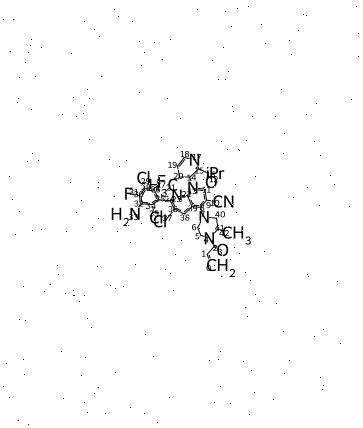 C=CC(=O)N1CCN(c2c(C#N)c(=O)n(C3C(C(C)C)=NC=CC3C)c3nc(-c4c(F)c(Cl)c(F)c(N)c4Cl)c(Cl)cc23)C[C@H]1C